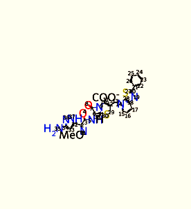 CON=C(C(=O)NC1C(=O)N2C(C(=O)[O-])=C(C[n+]3cccc4nc(-c5ccccc5)sc43)CS[C@@H]12)c1cc(N)n[nH]1